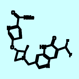 CNC(=O)c1ccc(O[C@H]2CN(Cc3cnc4cc(C(F)F)c(=O)[nH]c4c3)[C@@H]2C)cn1